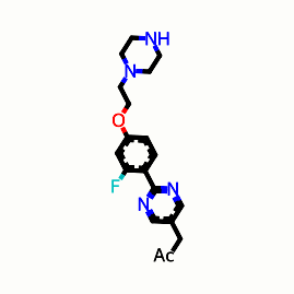 CC(=O)Cc1cnc(-c2ccc(OCCN3CCNCC3)cc2F)nc1